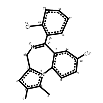 Cc1cc2n(c1C)-c1ccc(Cl)cc1C(c1ccccc1Cl)=NC2